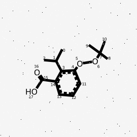 CC(C)c1c(OOC(C)(C)C)cccc1C(=O)O